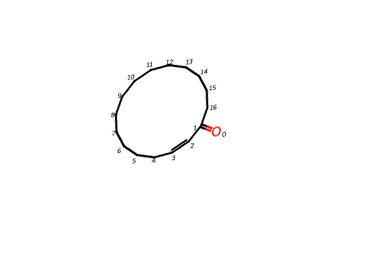 O=C1C=CCCCCCCCCCCCCC1